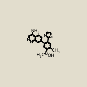 CB(O)c1cc(-c2ccc3c(N)cnnc3c2)c(-c2nccs2)cc1C